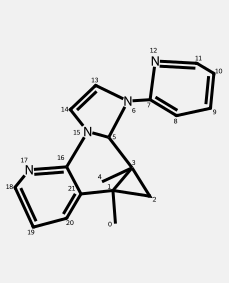 CC12CC1(C)C1N(c3ccccn3)C=CN1c1ncccc12